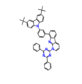 CC(C)(C)c1ccc2c(c1)c1cc(C(C)(C)C)ccc1n2-c1cccc(-c2cccc3c4cccn(-c5nc(-c6ccccc6)nc(-c6ccccc6)n5)c-4nc23)c1